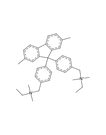 CC[N+](C)(C)Cc1ccc(C2(c3ccc(C[N+](C)(C)CC)cc3)c3cc(C)ccc3-c3ccc(C)cc32)cc1